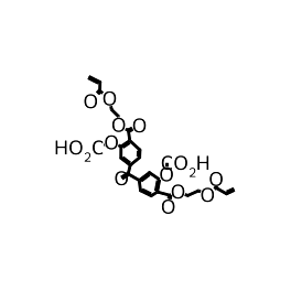 C=CC(=O)OCCOC(=O)c1ccc(C(=O)c2ccc(C(=O)OCCOC(=O)C=C)c(OC(=O)O)c2)cc1OC(=O)O